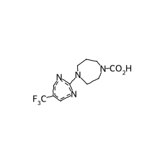 O=C(O)N1CCCN(c2ncc(C(F)(F)F)cn2)CC1